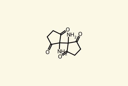 NC1(C2(N)C(=O)CCC2=O)C(=O)CCC1=O